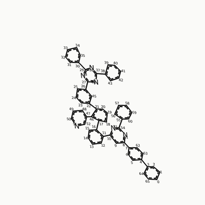 c1ccc(-c2ccc(-c3cc(-c4ccccc4-c4cccc(-c5cccc(-c6nc(-c7ccccc7)nc(-c7ccccc7)n6)c5)c4-c4cccnc4)nc(-c4ccccc4)n3)cc2)cc1